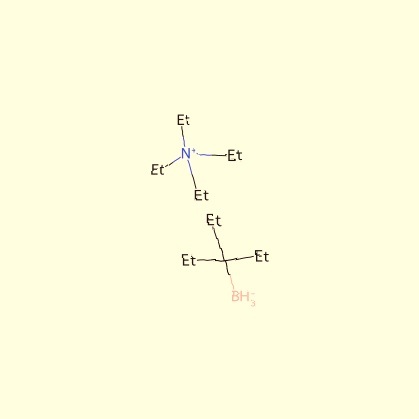 CC[N+](CC)(CC)CC.[BH3-]C(CC)(CC)CC